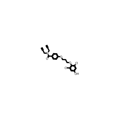 C#CCN(CC#C)C(=O)c1ccc(OCCCOc2c(Cl)cc(O)cc2Cl)cc1